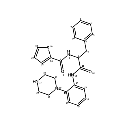 O=C(NC(Cc1ccccc1)C(=O)Nc1ccccc1N1CCNCC1)c1cccs1